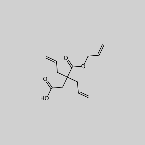 C=CCOC(=O)C(CC=C)(CC=C)CC(=O)O